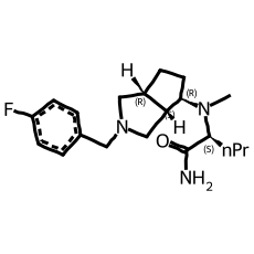 CCC[C@@H](C(N)=O)N(C)[C@@H]1CC[C@H]2CN(Cc3ccc(F)cc3)C[C@H]21